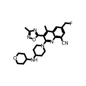 Cc1noc(-c2c(N3CCC(NC4CCOCC4)CC3)nc3c(C#N)cc(CF)cc3c2C)n1